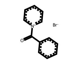 O=C(c1ccccc1)[n+]1ccccc1.[Br-]